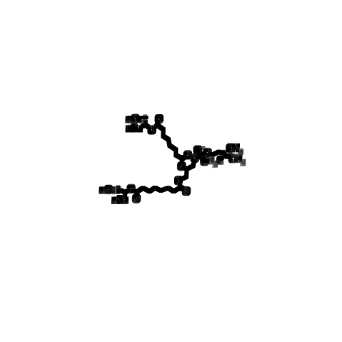 CCCCCCCCC(CCCC)OC(=O)CCCCCCC(=O)OCC(COP(=O)([O-])OCC[N+](C)(C)C)OC(=O)CCCCCCC(=O)OC(CCCC)CCCCCCCC